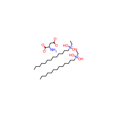 CCCCCCCCCCCCC[N+](O)(O)CC.CCCCCCCCCCCCC[N+](O)(O)CC.NC(CC(=O)[O-])C(=O)[O-]